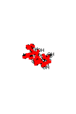 CC[C@H](CC(=O)[C@H](CCC(=O)O)NC(=O)[C@@H](CC(C)=O)CC(=O)O)C(=O)N[C@@H](CC(=O)O)C(=O)Cc1ccc2c(c1)CC1=CC(CC(=O)[C@H](CC(=O)O)NC(=O)[C@H](CCCCN(Cc3ccccn3)Cc3ccccn3)CC(=O)OCC3c4ccccc4-c4ccccc43)=CC3OC(=O)c4ccccc4C2C13